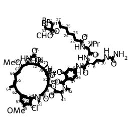 COc1cc(NC(=O)[C@H](CCCNC(N)=O)NC(=O)[C@@H](NC(=O)CCCCC(C)OC(C=O)(CBr)CBr)C(C)C)ccc1C(=O)N(C)[C@@H](C)C(=O)O[C@H]1CC(=O)N(C)c2cc(cc(OC)c2Cl)C/C(C)=C/C=C/[C@@H](OC)[C@@]2(O)C[C@H](OC(=O)N2)[C@@H](C)[C@@H]2O[C@@]12C